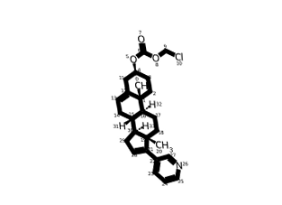 C[C@]12CC[C@H](OC(=O)OCCl)CC1=CC[C@@H]1[C@@H]2CC[C@]2(C)C(c3cccnc3)=CC[C@@H]12